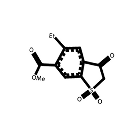 CCc1cc2c(cc1C(=O)OC)S(=O)(=O)CC2=O